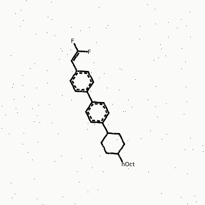 CCCCCCCCC1CCC(c2ccc(-c3ccc(C=C(F)F)cc3)cc2)CC1